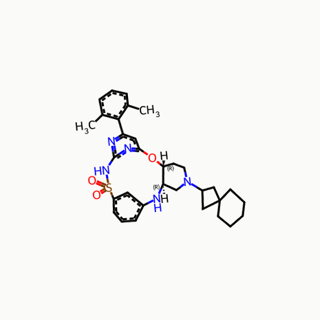 Cc1cccc(C)c1-c1cc2nc(n1)NS(=O)(=O)c1cccc(c1)N[C@@H]1CN(C3CC4(CCCCC4)C3)CC[C@H]1O2